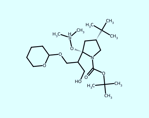 C[SiH](C)O[C@]1(C(CO)COC2CCCCO2)C[C@H](C(C)(C)C)CN1C(=O)OC(C)(C)C